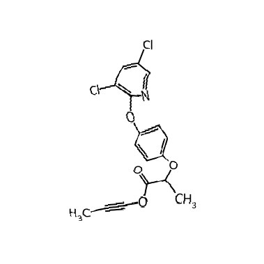 CC#COC(=O)C(C)Oc1ccc(Oc2ncc(Cl)cc2Cl)cc1